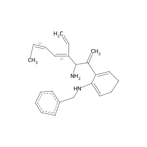 C=C/C(=C\C=C/C)C(N)C(=C)C1=CCCC=C1NCc1ccccc1